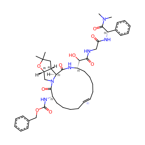 CN(C)C(=O)[C@@H](NC(=O)CNC(=O)C(O)[C@@H]1CCCC/C=C/CCCC[C@H](NC(=O)OCc2ccccc2)C(=O)N2C[C@@H]3OC(C)(C)C[C@@H]3[C@H]2C(=O)N1)c1ccccc1